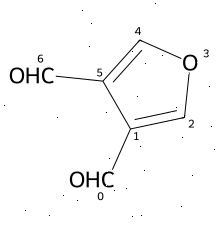 O=Cc1cocc1C=O